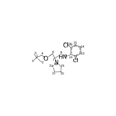 CC(C)(C)COCC(CNc1c(Cl)cccc1Cl)N1CCCC1